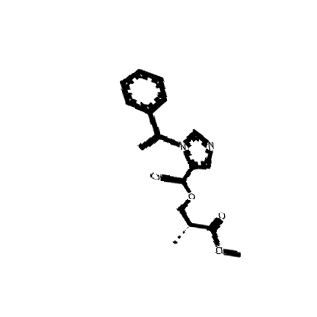 COC(=O)[C@H](C)COC(=O)c1cncn1C(C)c1ccccc1